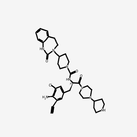 C#Cc1cc(C[C@@H](NC(=O)N2CCC(N3CCc4ccccc4NC3=O)CC2)C(=O)N2CCN(C3CCNCC3)CC2)cc(Cl)c1N